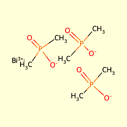 CP(C)(=O)[O-].CP(C)(=O)[O-].CP(C)(=O)[O-].[Bi+3]